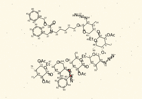 CCC1O[C@H](O[C@H]2C(C)C(OC(C)=O)[C@H](O[C@H]3C(C)C(N=[N+]=[N-])[C@@H](OCCCCCN(Cc4ccccc4)C(=O)OCc4ccccc4)O[C@H]3CC)O[C@H]2C)[C@@H](N=[N+]=[N-])C(C)[C@@H]1O[C@@H]1OC(C)[C@@H](O[C@H]2O[C@@H](CC)[C@@H](O[C@@H]3O[C@@H](OC(C)=O)[C@@H](C)C(C)C3OC(C)=O)C(C)C2N=[N+]=[N-])[C@@H](OCc2ccccc2)C1OC(C)=O